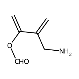 C=C(CN)C(=C)OC=O